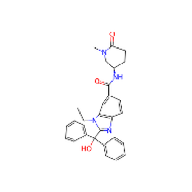 CCn1c(C(O)(c2ccccc2)c2ccccc2)nc2ccc(C(=O)N[C@@H]3CCC(=O)N(C)C3)cc21